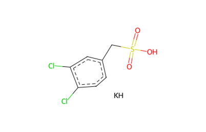 O=S(=O)(O)Cc1ccc(Cl)c(Cl)c1.[KH]